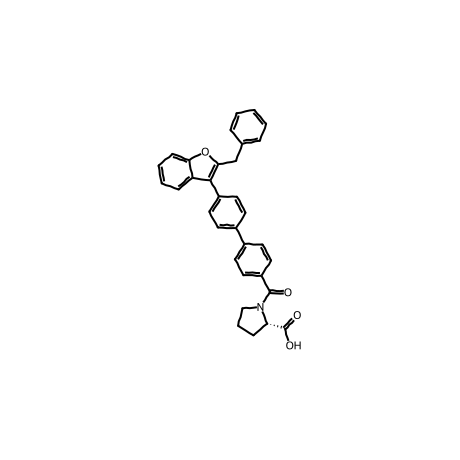 O=C(O)[C@@H]1CCCN1C(=O)c1ccc(-c2ccc(-c3c(Cc4ccccc4)oc4ccccc34)cc2)cc1